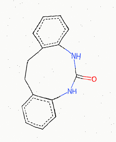 O=C1Nc2ccccc2CCc2ccccc2N1